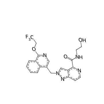 O=C(NCCO)c1nccc2nn(Cc3cnc(OCC(F)(F)F)c4ccccc34)cc12